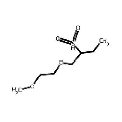 CCC(COCCOC)[SH](=O)=O